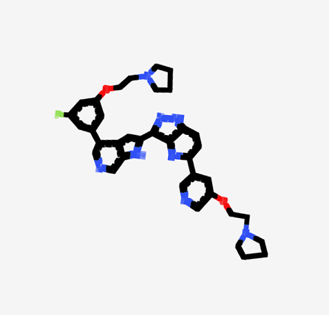 Fc1cc(OCCN2CCCC2)cc(-c2cncc3[nH]c(-c4n[nH]c5ccc(-c6cncc(OCCN7CCCC7)c6)nc45)cc23)c1